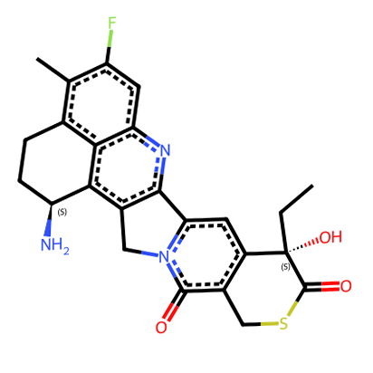 CC[C@@]1(O)C(=O)SCc2c1cc1n(c2=O)Cc2c-1nc1cc(F)c(C)c3c1c2[C@@H](N)CC3